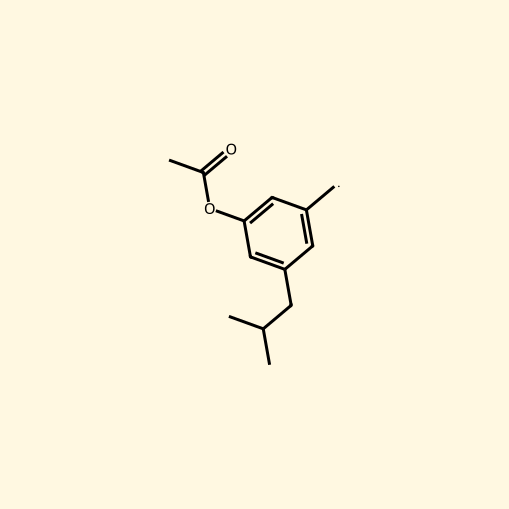 [CH2]c1cc(CC(C)C)cc(OC(C)=O)c1